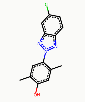 Cc1cc(-n2nc3ccc(Cl)cc3n2)c(C)cc1O